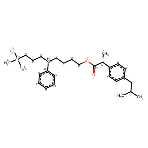 CC(C)Cc1ccc([C@@H](C)C(=O)OCCCC[SiH](CCC[Si](C)(C)C)c2ccccc2)cc1